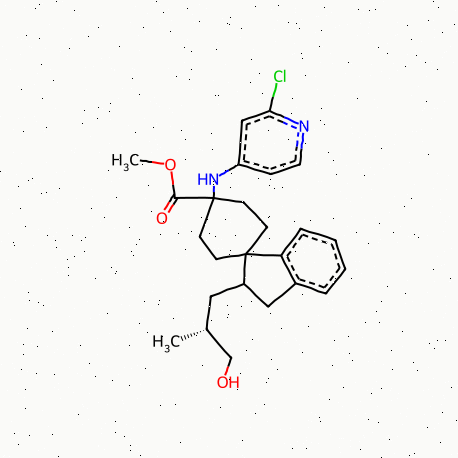 COC(=O)C1(Nc2ccnc(Cl)c2)CCC2(CC1)c1ccccc1CC2C[C@@H](C)CO